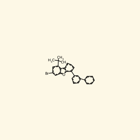 CC(C)(C)c1cc(Br)cc2oc3c(-c4cccc(-c5ccccc5)c4)cccc3c12